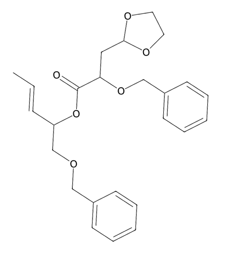 CC=CC(COCc1ccccc1)OC(=O)C(CC1OCCO1)OCc1ccccc1